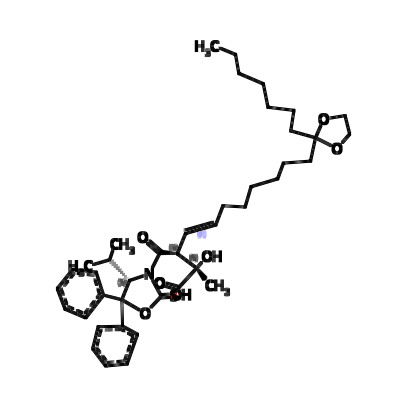 CCCCCCCC1(CCCCCC/C=C/[C@H](C(=O)N2C(=S)OC(c3ccccc3)(c3ccccc3)[C@@H]2C(C)C)[C@](C)(O)C(=O)O)OCCO1